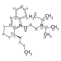 CCCC[C@H]1CCCC(=Cc2ccccc2)C1=NOCCN(C(C)C)C(C)C